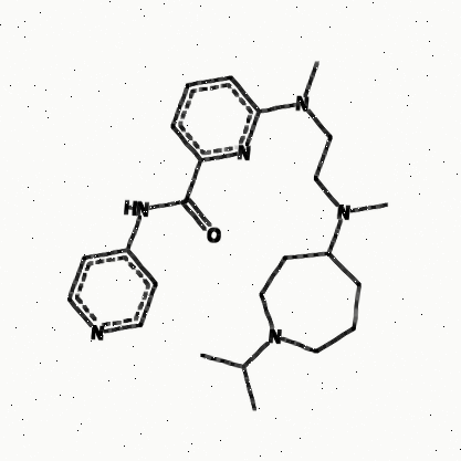 CC(C)N1CCCC(N(C)CCN(C)c2cccc(C(=O)Nc3ccncc3)n2)CC1